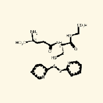 N[C@@H](CCC(=O)N[C@@H](CS)C(=O)NCC(=O)O)C(=O)O.c1ccc(SSc2ccccn2)nc1